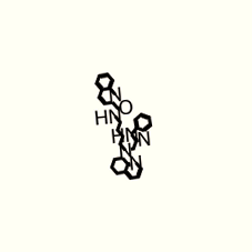 O=C(NCCCCN(Cc1nc2ccccc2[nH]1)C1CCCc2cccnc21)c1ccc2ccccc2n1